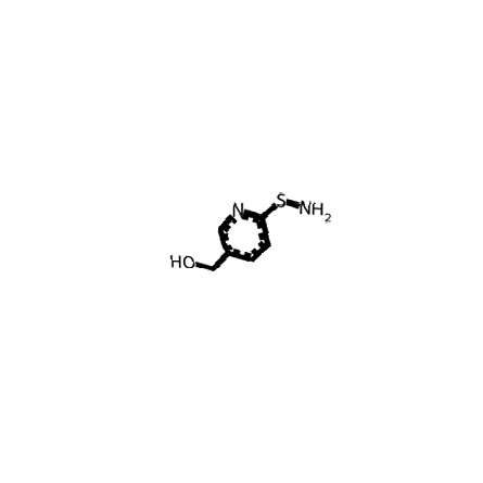 NSc1ccc(CO)cn1